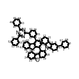 c1ccc(-c2ccc3c(c2)c2ccccc2n3-c2ccc3oc4ccccc4c3c2-c2ccc(-c3cccc(-c4nc(-c5ccccc5)nc(-c5ccccc5)n4)c3)c3c2Cc2ccccc2-3)cc1